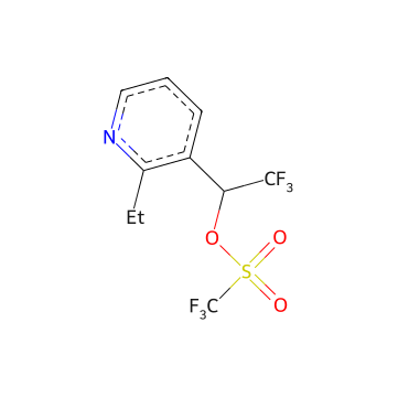 CCc1ncccc1C(OS(=O)(=O)C(F)(F)F)C(F)(F)F